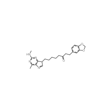 CNc1nc(C)c2c(n1)C(CCCCCC(=O)CCc1ccc3c(c1)OCO3)C=N2